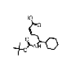 CC(C)(C)OC(=O)NC(C/C=C\C(=O)O)C1CCCCC1